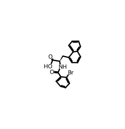 O=C(N[C@H](Cc1cccc2ccccc12)C(=O)O)c1ccccc1Br